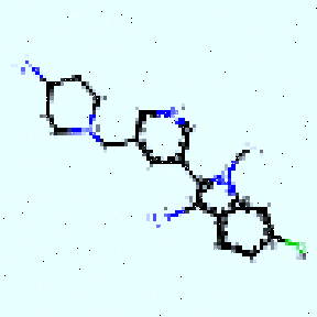 Cn1c(-c2cncc(CN3CCC(N)CC3)c2)c(N)c2ccc(Cl)cc21